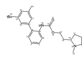 Cc1cc(-c2ccccc2NC(=O)OCCC2CCCN2C)cc(C(C)(C)C)c1